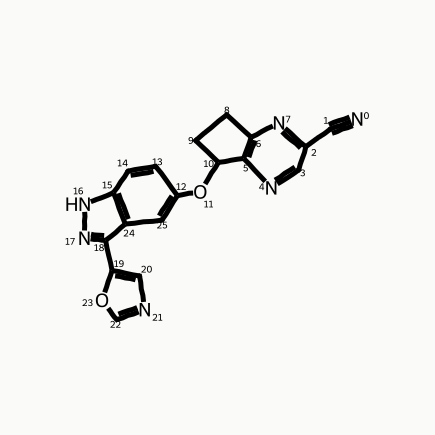 N#Cc1cnc2c(n1)CCC2Oc1ccc2[nH]nc(-c3cnco3)c2c1